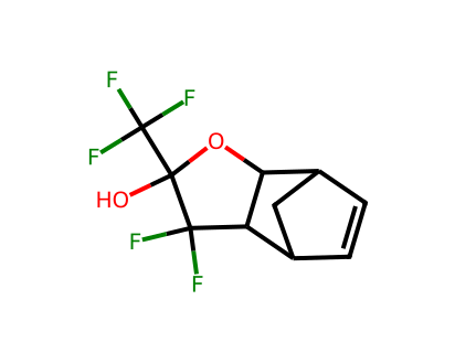 OC1(C(F)(F)F)OC2C3C=CC(C3)C2C1(F)F